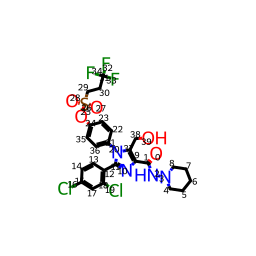 O=C(NN1CCCCC1)c1nc(-c2ccc(Cl)cc2Cl)n(-c2ccc(OS(=O)(=O)CCC(F)(F)F)cc2)c1CO